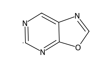 [c]1ncc2ncoc2n1